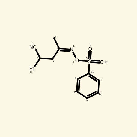 CCC(C#N)CC(C)=NOS(=O)(=O)c1ccccc1